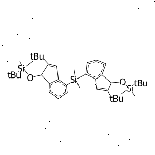 CC(C)(C)C1=Cc2c(cccc2[Si](C)(C)c2cccc3c2C=C(C(C)(C)C)C3O[Si](C)(C)C(C)(C)C)C1O[Si](C)(C)C(C)(C)C